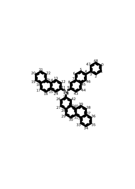 c1ccc(-c2ccc3cc(N(c4ccc5c(ccc6ccccc65)c4)c4ccc5ccc6c7ccccc7ccc6c5c4)ccc3c2)cc1